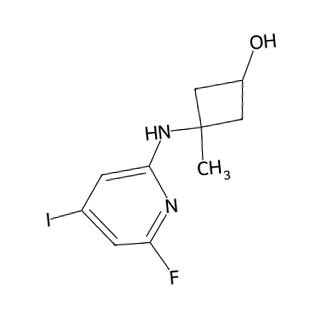 CC1(Nc2cc(I)cc(F)n2)CC(O)C1